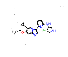 FC1CNCC1Nc1cccc(-c2cnc3cc(OCC(F)(F)F)c(C4CC4)cn23)n1